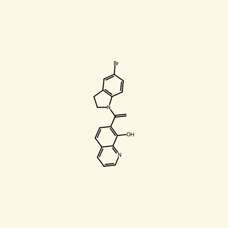 C=C(c1ccc2cccnc2c1O)N1CCc2cc(Br)ccc21